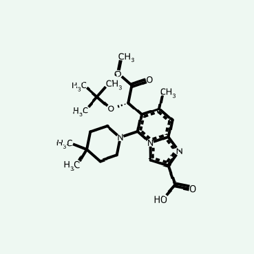 COC(=O)[C@@H](OC(C)(C)C)c1c(C)cc2nc(C(=O)O)cn2c1N1CCC(C)(C)CC1